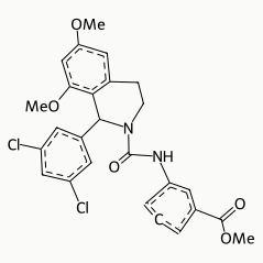 COC(=O)c1cccc(NC(=O)N2CCc3cc(OC)cc(OC)c3C2c2cc(Cl)cc(Cl)c2)c1